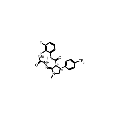 CN1C[C@H](c2ccc(C(F)(F)F)cc2)[C@@H](C(=O)Nc2cccc(F)c2F)C1=NNC(=O)C(C)(C)C